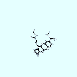 CCOC(=O)/C=C/c1c(Oc2ccnc(C(=N)SC)c2)c(F)cc2[nH]ccc12